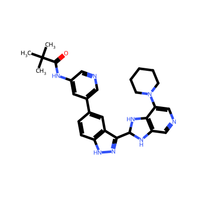 CC(C)(C)C(=O)Nc1cncc(-c2ccc3[nH]nc(C4Nc5cncc(N6CCCCC6)c5N4)c3c2)c1